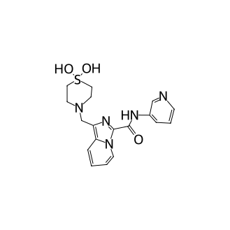 O=C(Nc1cccnc1)c1nc(CN2CCS(O)(O)CC2)c2ccccn12